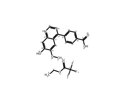 CCOC(=O)C(F)(F)F.COc1cc2c(-c3ccc(C(=O)O)cc3)ncnc2cc1O